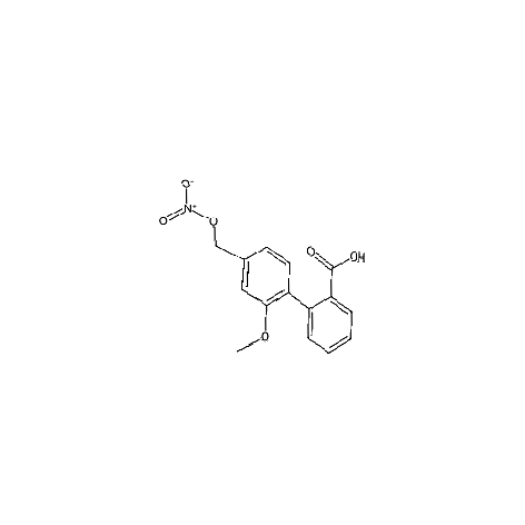 COc1cc(CO[N+](=O)[O-])ccc1-c1ccccc1C(=O)O